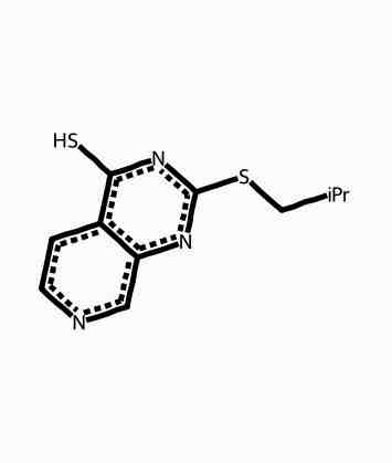 CC(C)CSc1nc(S)c2ccncc2n1